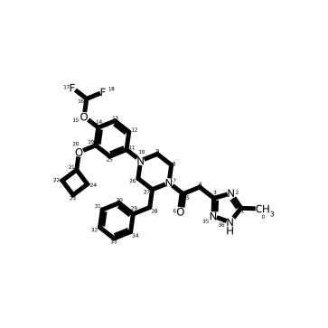 Cc1nc(CC(=O)N2CCN(c3ccc(OC(F)F)c(OC4CCC4)c3)CC2Cc2ccccc2)n[nH]1